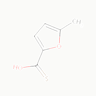 Cc1ccc(C(O)=S)o1